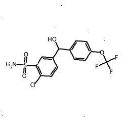 NS(=O)(=O)c1cc(C(O)c2ccc(OC(F)(F)F)cc2)ccc1Cl